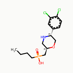 CCCCP(=O)(O)C[C@H]1CN[C@H](c2ccc(Cl)c(Cl)c2)CO1